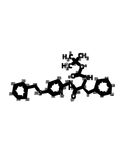 CC(C)(C)OC(=O)N[C@@H](Cc1ccccc1)C(=O)Nc1ccc(SCc2ccccc2)cn1